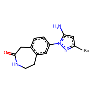 CC(C)(C)c1cc(N)n(-c2ccc3c(c2)CCNC(=O)C3)n1